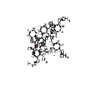 COc1ccc(CN(Cc2ccc(OC)cc2)S(=O)(=O)c2c(S(=O)(=O)Cl)ccc(-c3cccc4sc(N(C(=O)O)C(=O)OC(C)(C)C)nc34)c2-c2nnn(Cc3ccc(OC)cc3)n2)cc1